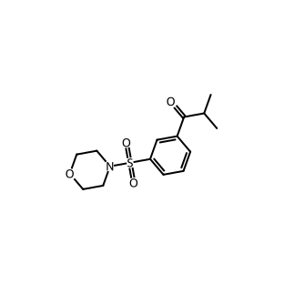 CC(C)C(=O)c1cccc(S(=O)(=O)N2CCOCC2)c1